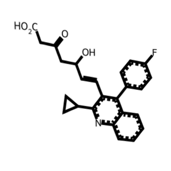 O=C(O)CC(=O)CC(O)/C=C/c1c(C2CC2)nc2ccccc2c1-c1ccc(F)cc1